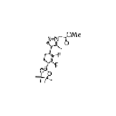 COC(=O)Cn1ncc(-c2ccc(B3OC(C)(C)C(C)(C)O3)c(F)c2F)c1C